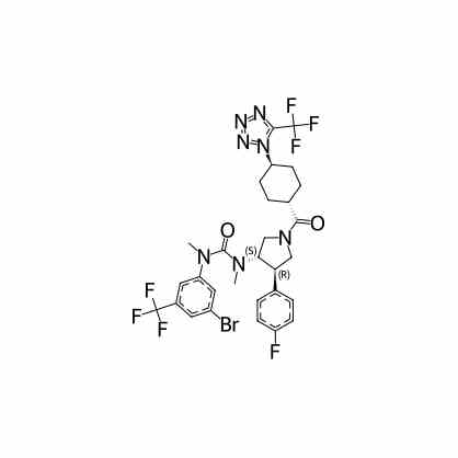 CN(C(=O)N(C)[C@@H]1CN(C(=O)[C@H]2CC[C@H](n3nnnc3C(F)(F)F)CC2)C[C@H]1c1ccc(F)cc1)c1cc(Br)cc(C(F)(F)F)c1